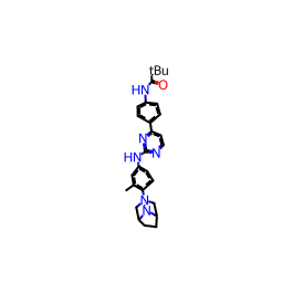 Cc1cc(Nc2nccc(-c3ccc(NC(=O)C(C)(C)C)cc3)n2)ccc1N1CC2CCC(C1)N2C